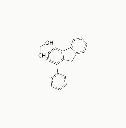 CCO.c1ccc(-c2cccc3c2Cc2ccccc2-3)cc1